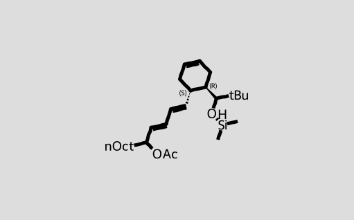 CCCCCCCCC(C=CC=C[C@@H]1CC=CC[C@H]1C(O[SiH](C)C)C(C)(C)C)OC(C)=O